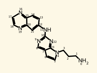 NCCCn1ccc2cnc(Nc3ccc4nccnc4c3)nc21